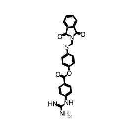 N=C(N)Nc1ccc(C(=O)Oc2ccc(SCN3C(=O)c4ccccc4C3=O)cc2)cc1